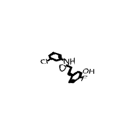 O=C(C=Cc1ccc(F)c(O)c1)Nc1cccc(Cl)c1